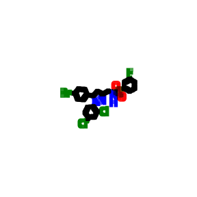 O=S(=O)(NCC1=NN(c2ccc(Cl)cc2Cl)C(c2ccc(Br)cc2)C1)c1cccc(F)c1